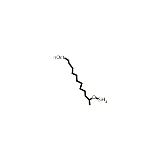 CCCCCCCCCCCCCCCCCCC(C)O[SiH3]